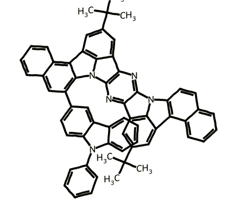 CC(C)(C)c1cc2c3nc4c(nc3n3c5ccc6ccccc6c5c(c1)c23)c1cc(C(C)(C)C)cc2c3c5ccccc5cc(-c5ccc6c(c5)c5ccccc5n6-c5ccccc5)c3n4c12